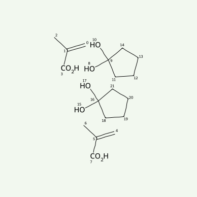 C=C(C)C(=O)O.C=C(C)C(=O)O.OC1(O)CCCC1.OC1(O)CCCC1